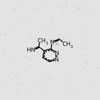 C/C=N\c1nnccc1C(C)=N